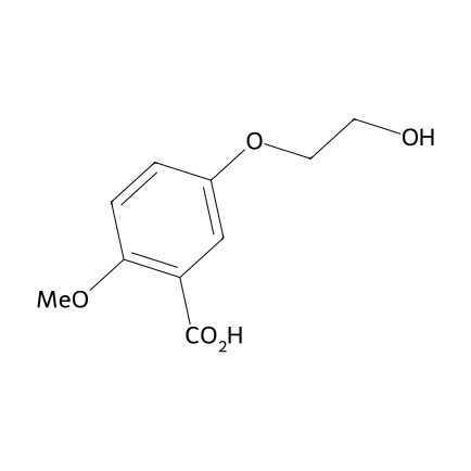 COc1ccc(OCCO)cc1C(=O)O